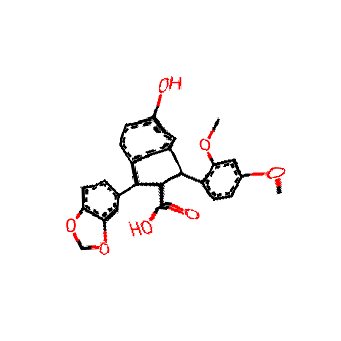 COc1ccc(C2c3cc(O)ccc3C(c3ccc4c(c3)OCO4)C2C(=O)O)c(OC)c1